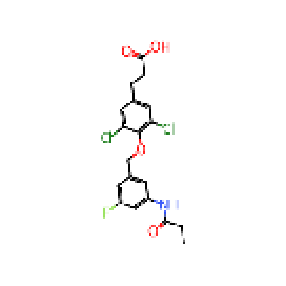 CCC(=O)Nc1cc(F)cc(COc2c(Cl)cc(CCC(=O)O)cc2Cl)c1